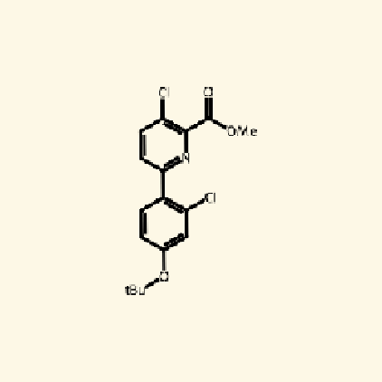 COC(=O)c1nc(-c2ccc(OC(C)(C)C)cc2Cl)ccc1Cl